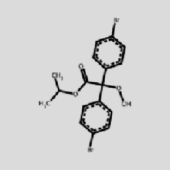 CC(C)OC(=O)C(OO)(c1ccc(Br)cc1)c1ccc(Br)cc1